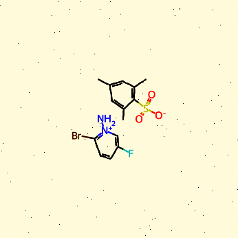 Cc1cc(C)c(S(=O)(=O)[O-])c(C)c1.N[n+]1cc(F)ccc1Br